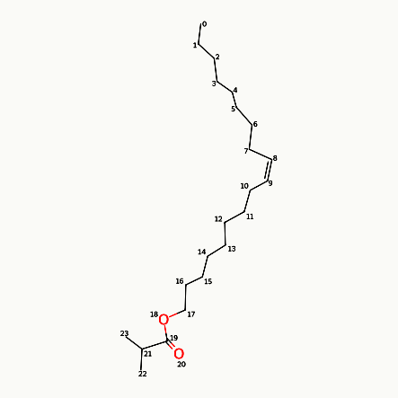 CCCCCCCC/C=C\CCCCCCCCOC(=O)C(C)C